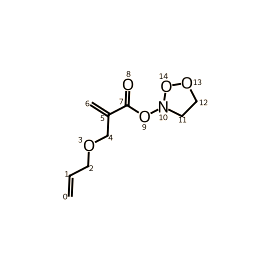 C=CCOCC(=C)C(=O)ON1CCOO1